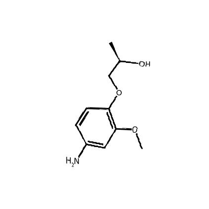 COc1cc(N)ccc1OC[C@@H](C)O